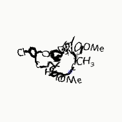 COCC[C@H]1C(=O)NS(=O)(=O)c2ccc3c(c2)N(CCCCc2cc(Cl)ccc2CO3)C[C@@H]2CC[C@H]2[C@H](OC)/C=C/C[C@@H]1C